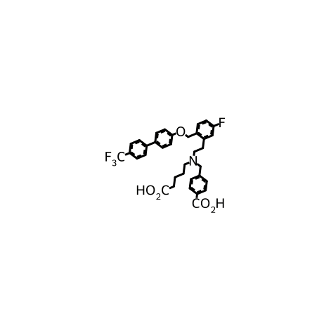 O=C(O)CCCCN(CCc1cc(F)ccc1COc1ccc(-c2ccc(C(F)(F)F)cc2)cc1)Cc1ccc(C(=O)O)cc1